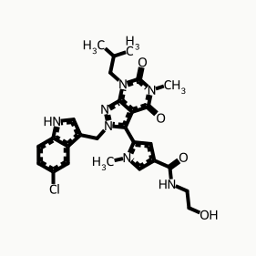 CC(C)Cn1c(=O)n(C)c(=O)c2c(-c3cc(C(=O)NCCO)cn3C)n(Cc3c[nH]c4ccc(Cl)cc34)nc21